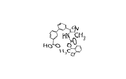 Cc1noc(-c2cccc(-c3cccc(C(=O)O)c3)c2)c1NC(=O)OC(C)c1ccccc1Cl